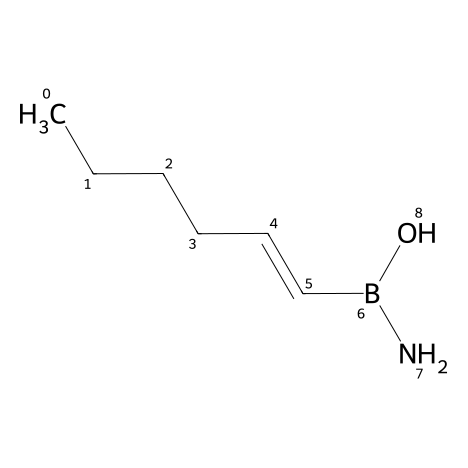 CCCC/C=C/B(N)O